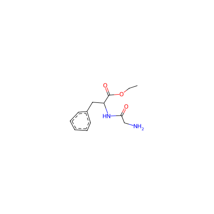 CCOC(=O)C(Cc1ccccc1)NC(=O)CN